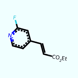 CCOC(=O)C=Cc1ccnc(F)c1